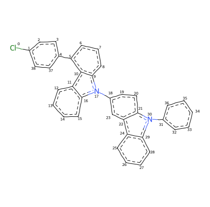 Clc1ccc(-c2cccc3c2c2ccccc2n3-c2ccc3c(c2)c2ccccc2n3-c2ccccc2)cc1